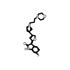 O=C1Nc2cc(F)ccc2C1=C1C=C(c2ccn(CCCN3CCOCC3)c2)CO1